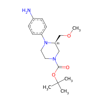 COC[C@H]1CN(C(=O)OC(C)(C)C)CCN1c1ccc(N)cc1